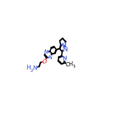 Cc1cccc(-c2nn3c(c2-c2ccc4ncc(OCCN)nc4c2)CCC3)n1